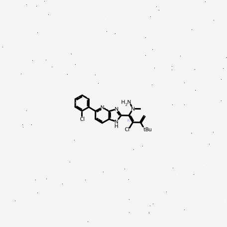 C=C(/C(Cl)=C(/c1nc2nc(-c3ccccc3Cl)ccc2[nH]1)N(C)N)C(C)(C)C